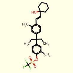 CCC(CC)(c1ccc(/C=C/C2(O)CCCCC2)c(C)c1)c1ccc(OS(=O)(=O)C(F)(F)F)c(C)c1